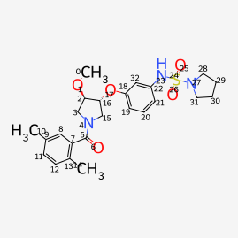 CO[C@@H]1CN(C(=O)c2cc(C)ccc2C)C[C@H]1Oc1cccc(NS(=O)(=O)N2CCCC2)c1